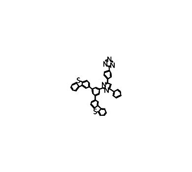 c1ccc(-c2cc(-c3ccc(-c4ncncn4)cc3)nc(-c3cc(-c4ccc5sc6ccccc6c5c4)cc(-c4ccc5sc6ccccc6c5c4)c3)n2)cc1